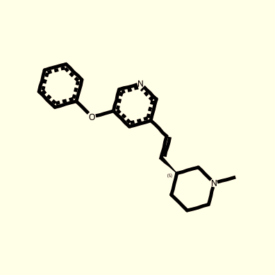 CN1CCC[C@@H](C=Cc2cncc(Oc3ccccc3)c2)C1